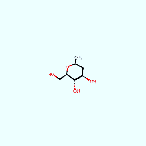 C[C@H]1C[C@@H](O)[C@H](O)[C@@H](CO)O1